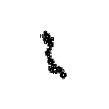 Nc1ncnc2c1c(-c1ccc(Oc3ccccc3)cc1)nn2C1CCN(CCN2CCC(CSc3ccc4c(c3)C(=O)N(C3CCC(=O)NC3=O)C4=O)C2)CC1